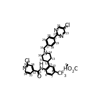 CC(=O)O.O=C(Nc1ccc(C(F)(F)F)cc1C1CCN(Cc2ccc(-c3ncc(Cl)cn3)cc2)CC1)c1ccnc(Cl)c1